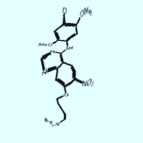 COc1cc(Nc2ncnc3cc(OCCN)c([N+](=O)[O-])cc23)c(OC)cc1Cl